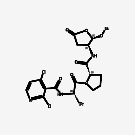 CCO[C@@H]1OC(=O)C[C@@H]1NC(=O)[C@@H]1CCCN1C(=O)[C@@H](NC(=O)c1c(Cl)ccnc1Cl)C(C)C